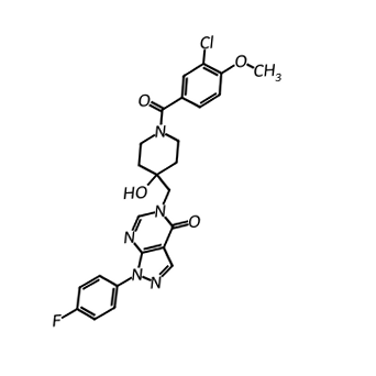 COc1ccc(C(=O)N2CCC(O)(Cn3cnc4c(cnn4-c4ccc(F)cc4)c3=O)CC2)cc1Cl